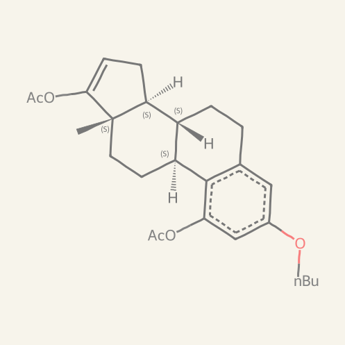 CCCCOc1cc2c(c(OC(C)=O)c1)[C@H]1CC[C@]3(C)C(OC(C)=O)=CC[C@H]3[C@@H]1CC2